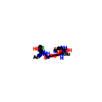 CC(=O)N1CCN(c2nc(NCCC(=O)N(C)CCOCCOCCOCC(=O)N[C@H](C(=O)N3C[C@H](O)C[C@H]3C(=O)N[C@@H](C)c3ccc(-c4scnc4C)cc3)C(C)(C)C)nc3c(F)c(C4=C(F)C=CC[C@H]4O)c(I)cc23)CC1